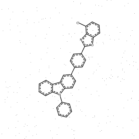 Clc1cccc2oc(-c3ccc(-c4ccc5c(c4)c4ccccc4n5-c4ccccc4)cc3)nc12